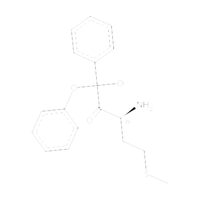 CSCC[C@H](N)C(=O)C([O])(Oc1ccccc1)c1ccccc1